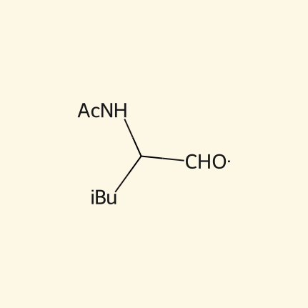 CCC(C)C([C]=O)NC(C)=O